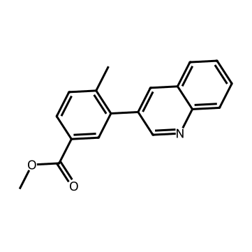 COC(=O)c1ccc(C)c(-c2cnc3ccccc3c2)c1